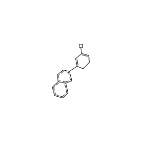 ClC1=CC[CH]C(c2ccc3ccccc3c2)=C1